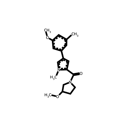 COc1cc(C)cc(-c2cc(C(=O)N3CCC(OC)C3)n(C)c2)c1